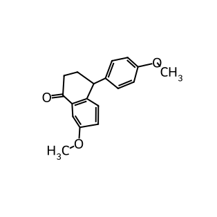 COc1ccc(C2CCC(=O)c3cc(OC)ccc32)cc1